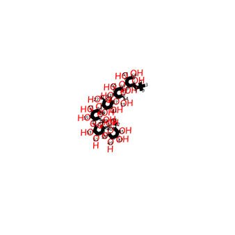 CC(C)(C)C[C@H](O)[C@@H](O)[C@H](O[C@H]1O[C@H](CO)[C@@H](O[C@H]2O[C@H](CO)[C@@H](O[C@H]3O[C@H](CO)[C@@H](O[C@H]4O[C@H](CO)[C@@H](O[C@H]5O[C@H](CO)[C@@H](O)[C@H](O)[C@H]5O)[C@H](O)[C@H]4O)[C@H](O)[C@H]3O)[C@H](O)[C@H]2O)[C@H](O)[C@H]1O)[C@H](O)CO